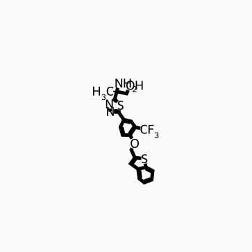 C[C@](N)(CO)c1nnc(-c2ccc(OCc3cc4ccccc4s3)c(C(F)(F)F)c2)s1